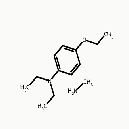 CCOc1ccc(N(CC)CC)cc1.CN